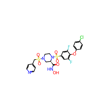 O=C(NO)[C@H]1CN(S(=O)(=O)Cc2ccncc2)CCN1S(=O)(=O)c1cc(F)c(Oc2ccc(Cl)cc2)c(F)c1